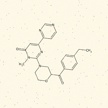 CCc1ccc(C(=O)C2CN(c3nc(-c4ccncn4)cc(=O)n3C)CCO2)cc1